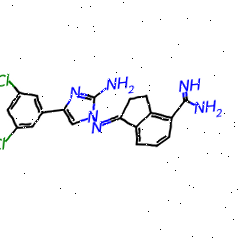 N=C(N)c1cccc2c1CC/C2=N\n1cc(-c2cc(Cl)cc(Cl)c2)nc1N